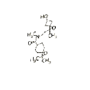 CN(CCC1(C)OC12CC(O)C2)C(=O)C1CCC2(CC1)OC2(C)C